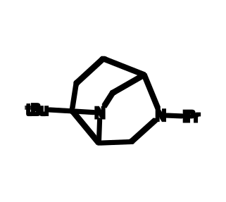 CC(C)N1CC2CCCC1CN2C(C)(C)C